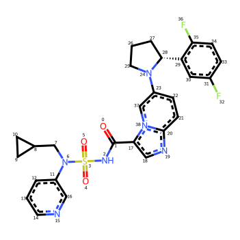 O=C(NS(=O)(=O)N(CC1CC1)c1cccnc1)c1cnc2ccc(N3CCC[C@@H]3c3cc(F)ccc3F)cn12